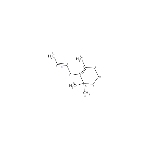 C/C=C/CC1=C(C)CCCC1(C)C